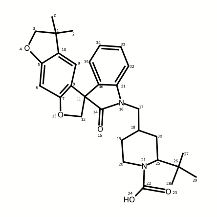 CC1(C)COc2cc3c(cc21)C1(CO3)C(=O)N(CC2CCN(C(=O)O)C(C(C)(C)C)C2)c2ccccc21